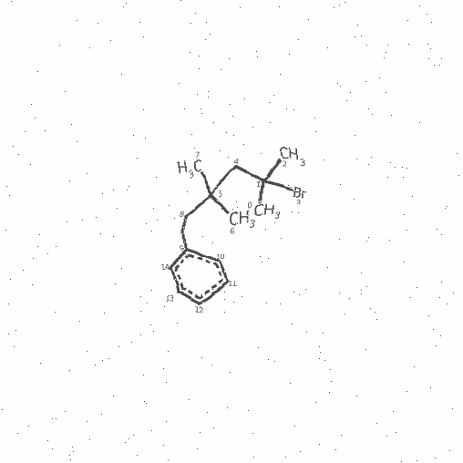 CC(C)(Br)CC(C)(C)Cc1ccccc1